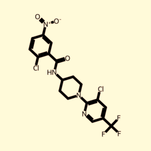 O=C(NC1CCN(c2ncc(C(F)(F)F)cc2Cl)CC1)c1cc([N+](=O)[O-])ccc1Cl